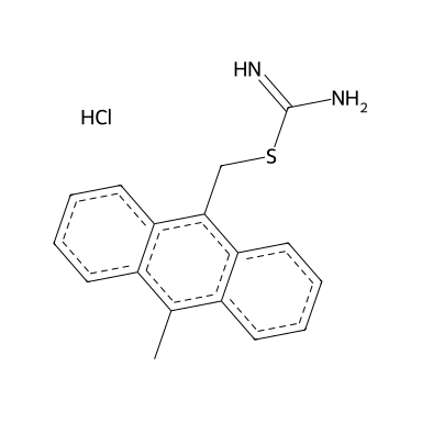 Cc1c2ccccc2c(CSC(=N)N)c2ccccc12.Cl